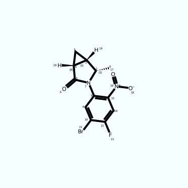 C[C@H]1[C@H]2C[C@H]2C(=O)N1c1cc(Br)c(F)cc1[N+](=O)[O-]